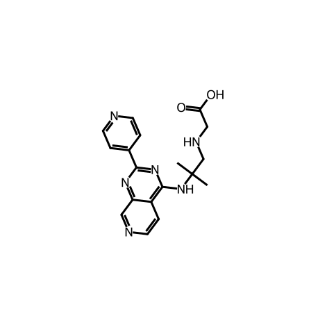 CC(C)(CNCC(=O)O)Nc1nc(-c2ccncc2)nc2cnccc12